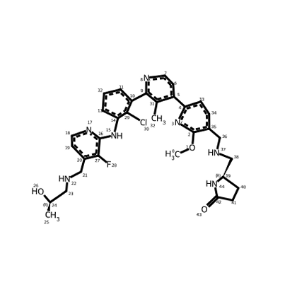 COc1nc(-c2ccnc(-c3cccc(Nc4nccc(CNC[C@@H](C)O)c4F)c3Cl)c2C)ccc1CNC[C@H]1CCC(=O)N1